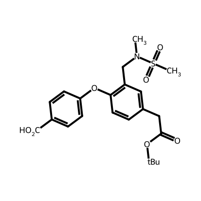 CN(Cc1cc(CC(=O)OC(C)(C)C)ccc1Oc1ccc(C(=O)O)cc1)S(C)(=O)=O